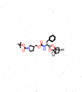 CC(C)(C)OC(=O)N1CC[C@H](COC(=O)N[C@@H](Cc2ccccc2)B2OC3C[C@@H]4C[C@@H](C4(C)C)[C@]3(C)O2)C1